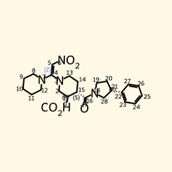 O=C(O)[C@H]1CN(/C(=C\[N+](=O)[O-])N2CCCCC2)CC[C@@H]1C(=O)N1CC[C@H](c2ccccc2)C1